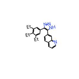 CCc1cc(-c2nn[nH]c2-c2ccc3cccnc3c2)cc(CC)c1CC